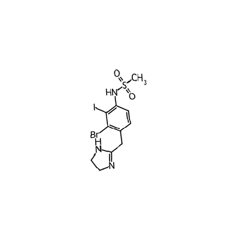 CS(=O)(=O)Nc1ccc(CC2=NCCN2)c(Br)c1I